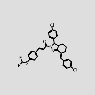 O=C(/C=C/c1ccc(SC(F)F)cc1)N1N=C2/C(=C/c3ccc(Cl)cc3)CCCC2C1c1ccc(Cl)cc1